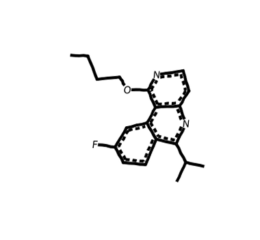 CCCCOc1nccc2nc(C(C)C)c3ccc(F)cc3c12